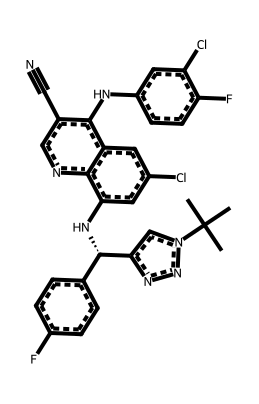 CC(C)(C)n1cc([C@@H](Nc2cc(Cl)cc3c(Nc4ccc(F)c(Cl)c4)c(C#N)cnc23)c2ccc(F)cc2)nn1